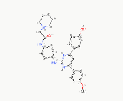 COc1ccc(-c2cc(-c3ccc(O)cc3)nc(Nc3ccc(NC(=O)CN4CCCCC4)cc3)n2)cc1